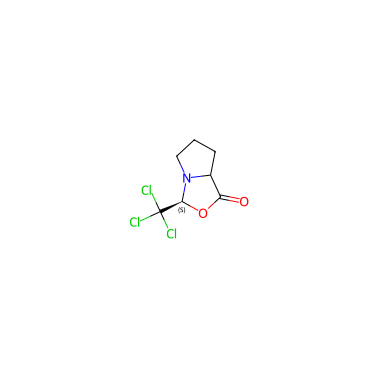 O=C1O[C@@H](C(Cl)(Cl)Cl)N2CCCC12